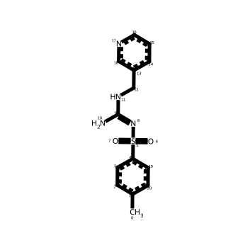 Cc1ccc(S(=O)(=O)/N=C(\N)NCc2cccnc2)cc1